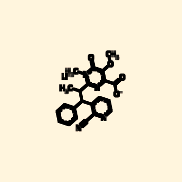 COc1c(C(=O)[O-])nc(C(C)C(c2ccccc2)c2cccnc2C#N)n(C)c1=O.[Li+]